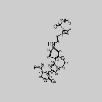 NC(=O)[C@]12CC1[C@H]2CCNc1ccc2c(c1)OCCn1cc(N3C(=O)OC[C@H]3C(F)F)nc1-2